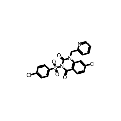 O=c1c2ccc(Cl)cc2n(Cc2ccccn2)c(=O)n1S(=O)(=O)c1ccc(Cl)cc1